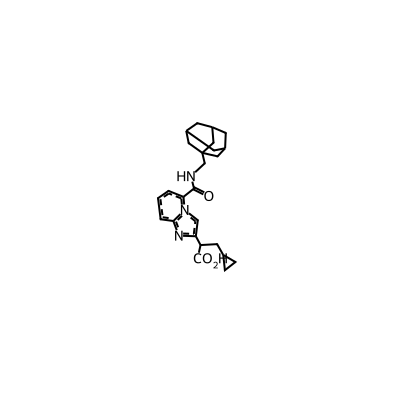 O=C(NCC12CC3CC(CC(C3)C1)C2)c1cccc2nc(C(CC3CC3)C(=O)O)cn12